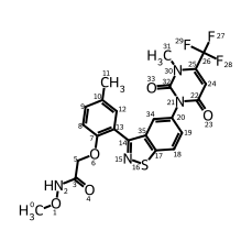 CONC(=O)COc1ccc(C)cc1-c1nsc2ccc(-n3c(=O)cc(C(F)(F)F)n(C)c3=O)cc12